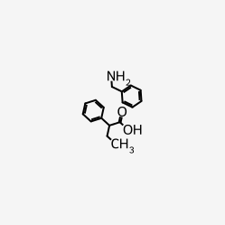 CCC(C(=O)O)c1ccccc1.NCc1ccccc1